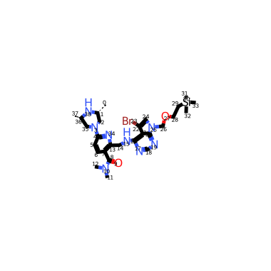 C[C@@H]1CN(c2ccc(C(=O)N(C)C)c(CNc3ncnc4c3c(Br)cn4COCC[Si](C)(C)C)n2)C[C@H](C)N1